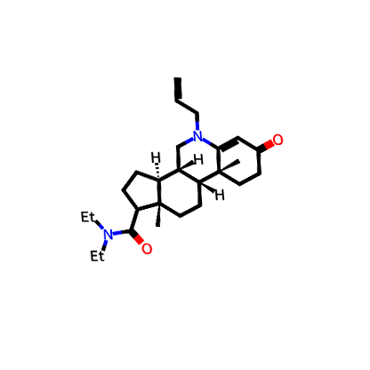 C=CCN1C[C@@H]2[C@@H](CC[C@]3(C)C(C(=O)N(CC)CC)CC[C@@H]23)[C@@]2(C)CCC(=O)C=C12